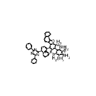 Bc1c(B)c(B)c(-c2c(B)c(-c3ccc(-c4nc(-c5ccccc5)nc(-c5ccccc5)n4)c4ccccc34)c3c(oc4c5ccccc5ccc43)c2B)c(B)c1B